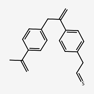 C=C(C)c1ccc(CC(=C)c2ccc(CC=S)cc2)cc1